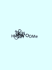 COc1ccc(-c2nc3c4cccc(C5(C(F)(F)F)CC5)c4nc(N[C@@H]4CCCCNC4=O)n3n2)cc1